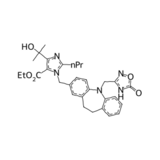 CCCc1nc(C(C)(C)O)c(C(=O)OCC)n1Cc1ccc2c(c1)CCc1ccccc1N2Cc1noc(=O)[nH]1